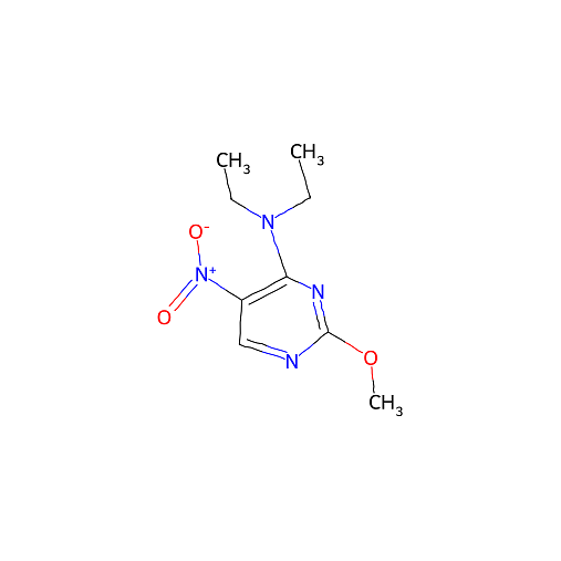 CCN(CC)c1nc(OC)ncc1[N+](=O)[O-]